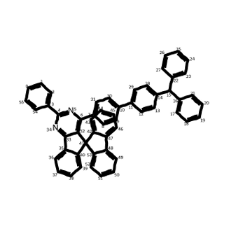 c1ccc(-c2nc(-c3ccc(-c4ccc(C(c5ccccc5)c5ccccc5)cc4)cc3)c3c(n2)-c2ccccc2C32c3ccccc3-c3ccccc32)cc1